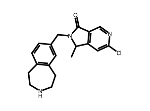 CC1c2cc(Cl)ncc2C(=O)N1Cc1ccc2c(c1)CCNCC2